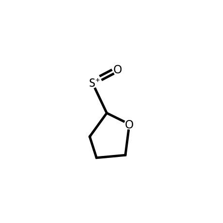 O=[S+]C1CCCO1